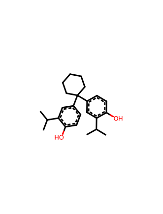 CC(C)c1cc(C2(c3ccc(O)c(C(C)C)c3)CCCCC2)ccc1O